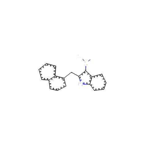 CCN(C(C)=O)c1c(Cc2cccc3ccccc23)[nH]c2ccccc12